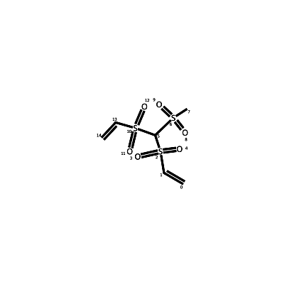 C=CS(=O)(=O)C(S(C)(=O)=O)S(=O)(=O)C=C